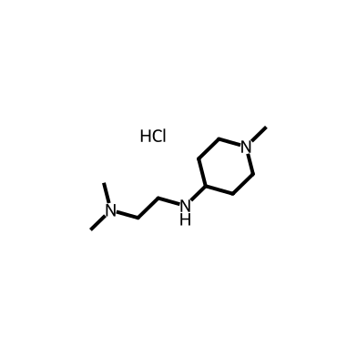 CN(C)CCNC1CCN(C)CC1.Cl